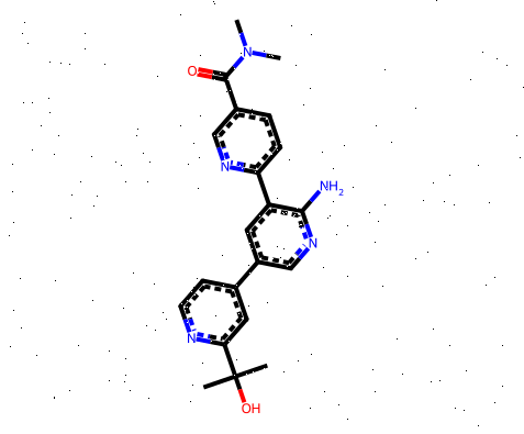 CN(C)C(=O)c1ccc(-c2cc(-c3ccnc(C(C)(C)O)c3)cnc2N)nc1